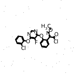 CON=C(C(=O)Cl)c1ccccc1Oc1ncnc(Oc2ccccc2Cl)c1F